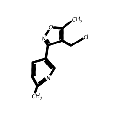 Cc1ccc(-c2noc(C)c2CCl)cn1